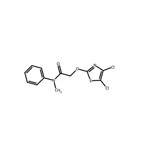 CN(C(=O)COc1nc(Cl)c(Cl)s1)c1ccccc1